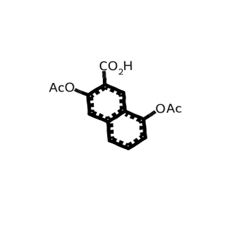 CC(=O)Oc1cc2cccc(OC(C)=O)c2cc1C(=O)O